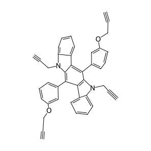 C#CCOc1cccc(-c2c3c4ccccc4n(CC#C)c3c(-c3cccc(OCC#C)c3)c3c4ccccc4n(CC#C)c23)c1